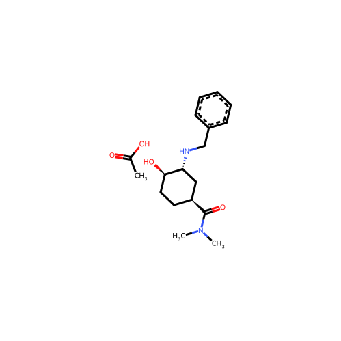 CC(=O)O.CN(C)C(=O)[C@H]1CC[C@@H](O)[C@H](NCc2ccccc2)C1